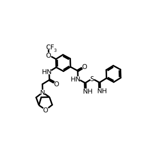 N=C(NC(=O)c1ccc(OC(F)(F)F)c(NC(=O)CN2CC3CC2CO3)c1)SC(=N)c1ccccc1